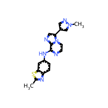 Cc1nc2ccc(Nc3nccn4c(-c5cnn(C)c5)cnc34)cc2s1